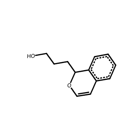 OCCCC1OC=Cc2ccccc21